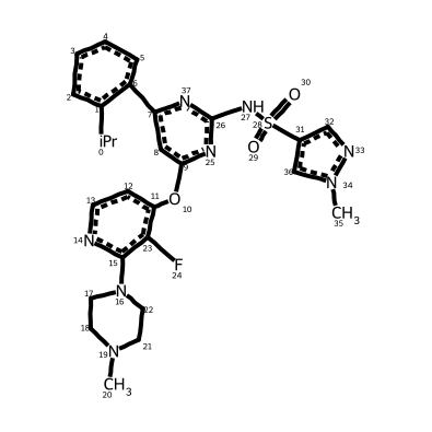 CC(C)c1ccccc1-c1cc(Oc2ccnc(N3CCN(C)CC3)c2F)nc(NS(=O)(=O)c2cnn(C)c2)n1